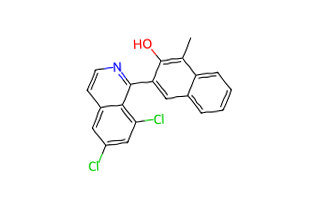 Cc1c(O)c(-c2nccc3cc(Cl)cc(Cl)c23)cc2ccccc12